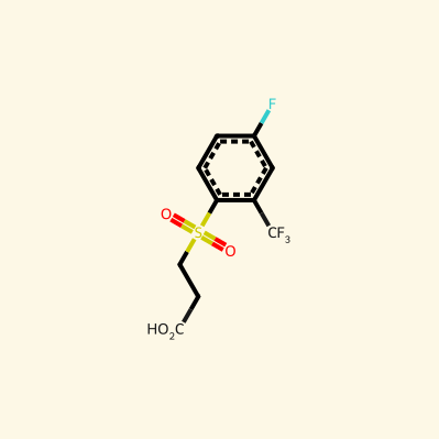 O=C(O)CCS(=O)(=O)c1ccc(F)cc1C(F)(F)F